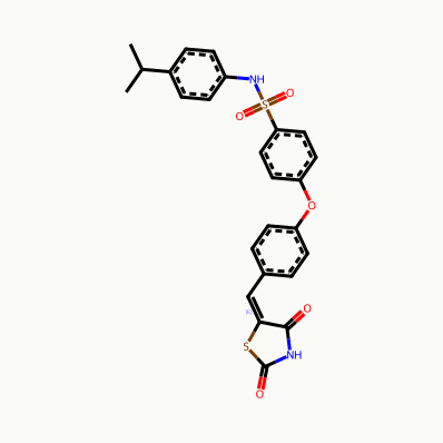 CC(C)c1ccc(NS(=O)(=O)c2ccc(Oc3ccc(/C=C4/SC(=O)NC4=O)cc3)cc2)cc1